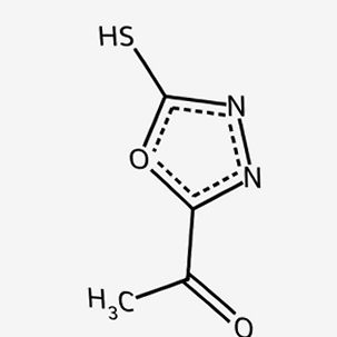 CC(=O)c1nnc(S)o1